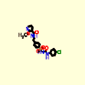 COc1ncccc1C(=O)NCCc1ccc(S(=O)(=O)NC(=O)NC2CCC(Cl)CC2)cc1